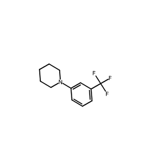 FC(F)(F)c1cccc(N2CCCCC2)c1